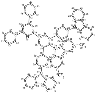 FC(F)(F)c1ccc2c(c1)c1cc(C(F)(F)F)ccc1n2-c1c(-c2ccc(-n3c4ccccc4c4ccccc43)cc2)cc(-c2cc(-c3ccccc3)nc(-c3ccccc3)n2)cc1-c1ccc(-n2c3ccccc3c3ccccc32)cc1